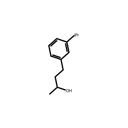 CC(O)CCc1cccc(C(C)C)c1